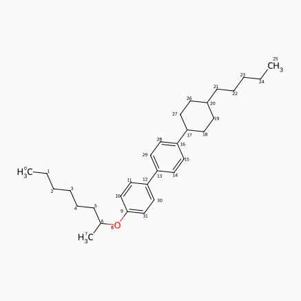 CCCCCCC(C)Oc1ccc(-c2ccc(C3CCC(CCCCC)CC3)cc2)cc1